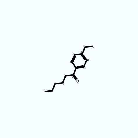 CCCCCC(=O)c1ccc(CC)cc1